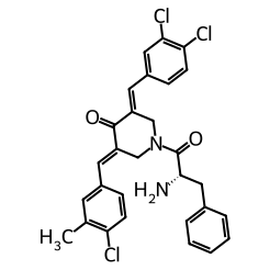 Cc1cc(/C=C2\CN(C(=O)[C@@H](N)Cc3ccccc3)C/C(=C\c3ccc(Cl)c(Cl)c3)C2=O)ccc1Cl